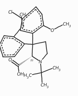 COc1ccccc1C1(c2cc(Cl)ccc2OC)CCN(C(C)(C)C)[C@@H]1C(=O)O